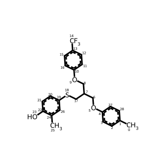 Cc1ccc(OCC(COc2ccc(C(F)(F)F)cc2)CSc2ccc(O)c(C)c2)cc1